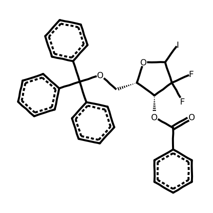 O=C(O[C@@H]1[C@H](COC(c2ccccc2)(c2ccccc2)c2ccccc2)OC(I)C1(F)F)c1ccccc1